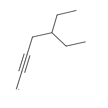 [CH2]C#CCC(CC)CC